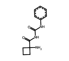 NC1(C(=O)NC(=O)Nc2ccccc2)CCC1